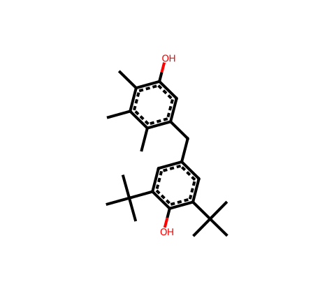 Cc1c(O)cc(Cc2cc(C(C)(C)C)c(O)c(C(C)(C)C)c2)c(C)c1C